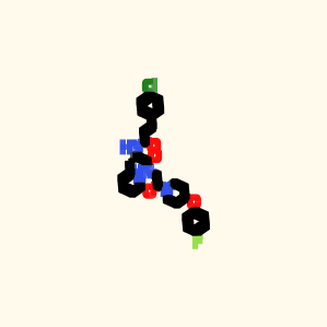 O=C(C=Cc1ccc(Cl)cc1)N[C@@H](Cc1ccccn1)C(=O)NCC(=O)N1CCC(Oc2ccc(F)cc2)CC1